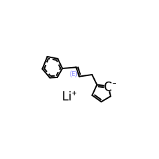 [C-]1=C(C/C=C/c2ccccc2)C=CC1.[Li+]